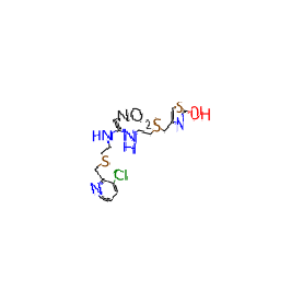 O=[N+]([O-])C=C(NCCSCc1csc(O)n1)NCCSCc1ncccc1Cl